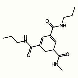 CCCNC(=O)C1=CC(C(=O)NC)CC(C(=O)NCCC)=C1